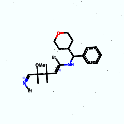 CC/N=C\C(C)(OC)C(C)(C)/C=C(\CC)NC(c1ccccc1)C1CCOCC1